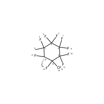 CC1(F)C(F)(F)C(F)(F)C(F)(F)C(F)(C(F)(F)F)[C@@]1(C)F